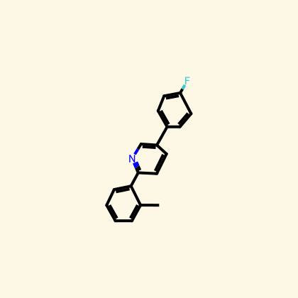 Cc1ccccc1-c1ccc(-c2ccc(F)cc2)cn1